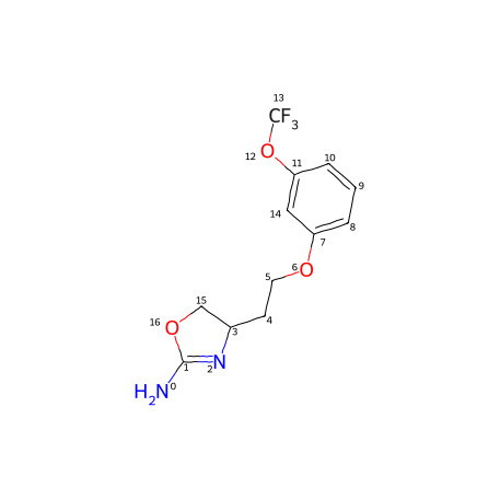 NC1=NC(CCOc2cccc(OC(F)(F)F)c2)CO1